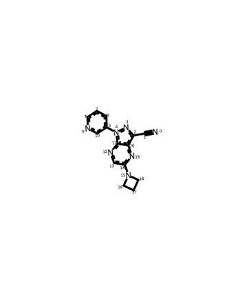 N#Cc1nn(-c2cccnc2)c2ncc(N3CCC3)nc12